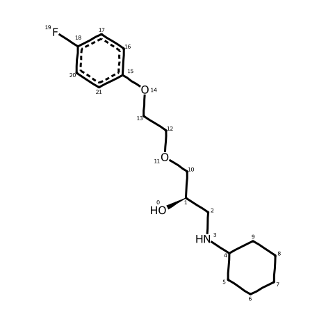 O[C@H](CNC1CCCCC1)COCCOc1ccc(F)cc1